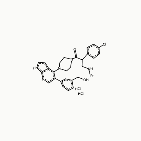 CC(C)NCC(C(=O)N1CCN(c2c(-c3cccc(CO)c3)cnc3[nH]ccc23)CC1)c1ccc(Cl)cc1.Cl.Cl